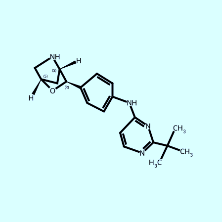 CC(C)(C)c1nccc(Nc2ccc([C@H]3O[C@@H]4CN[C@H]3C4)cc2)n1